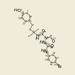 CC(C)(CCc1ccc(O)cc1)NC(=O)N(C=O)NC(=O)Nc1ccc(Br)cc1